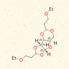 CCOCCC1OC[C@H]2O[C@@H]3OC(CCOCC)O[C@@H]3[C@H]2O1